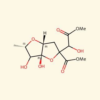 COC(=O)C(O)C1(C(=O)OC)C[C@H]2O[C@@H](C)C(O)[C@@]2(O)O1